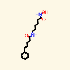 O=C(CCCCCNC(=O)CCC=Cc1ccccc1)NO